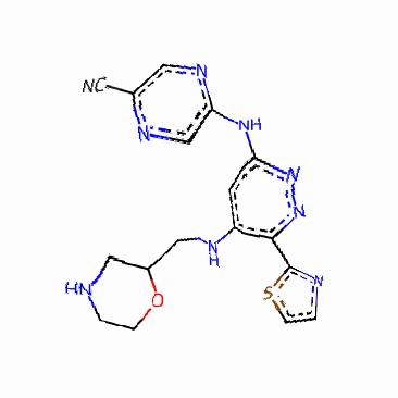 N#Cc1cnc(Nc2cc(NCC3CNCCO3)c(-c3nccs3)nn2)cn1